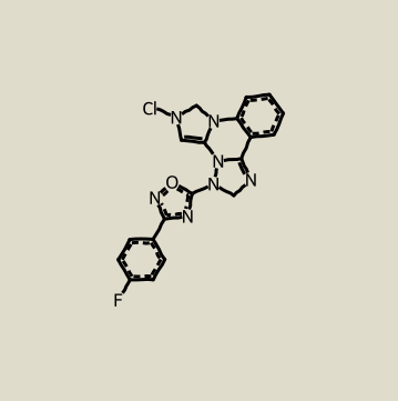 Fc1ccc(-c2noc(N3CN=C4c5ccccc5N5CN(Cl)C=C5N43)n2)cc1